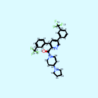 O=C(c1ncc(-c2cccc(C(F)(F)F)c2)cc1-c1cccc(C(F)(F)F)c1)N1CCC(N2CCCC2)CC1